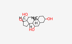 C[C@@]12C(=O)CC[C@H]1[C@@H]1[C@H](O)CC3C[C@H](O)CC[C@]3(C)[C@H]1C[C@H]2O